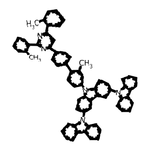 Cc1cc(-n2c3ccc(-n4c5ccccc5c5ccccc54)cc3c3cc(-n4c5ccccc5c5ccccc54)ccc32)ccc1-c1ccc(-c2cc(-c3ccccc3C)nc(-c3ccccc3C)n2)cc1